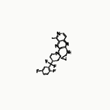 Cc1nccc2nc(NC3CC3)c(N3CCC(C(F)(F)c4cc(F)ccc4F)CC3)nc12